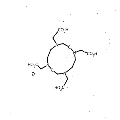 O=C(O)CN1CCN(CC(=O)O)CCN(CC(=O)O)CCN(CC(=O)O)CC1.[Zr]